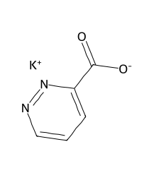 O=C([O-])c1cccnn1.[K+]